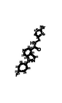 O=C(NCc1csc(Br)n1)c1cncc2c1cnn2-c1ccc(F)cc1